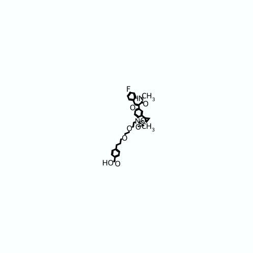 CNC(=O)c1c(-c2ccc(F)cc2)oc2cc(N(CCOCCOCCCc3ccc(C(=O)O)cc3)S(C)(=O)=O)c(C3CC3)cc12